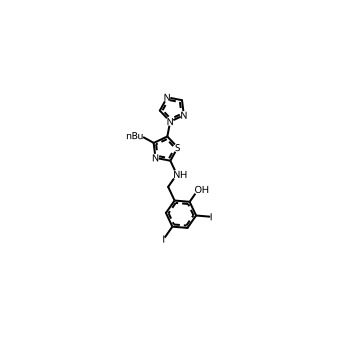 CCCCc1nc(NCc2cc(I)cc(I)c2O)sc1-n1cncn1